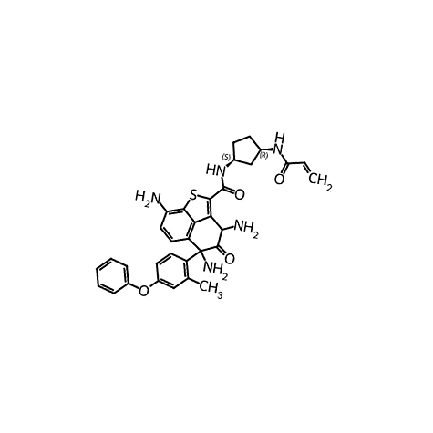 C=CC(=O)N[C@@H]1CC[C@H](NC(=O)c2sc3c(N)ccc4c3c2C(N)C(=O)C4(N)c2ccc(Oc3ccccc3)cc2C)C1